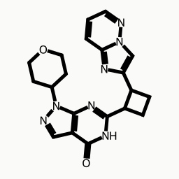 O=c1[nH]c(C2CCC2c2cn3ncccc3n2)nc2c1cnn2C1CCOCC1